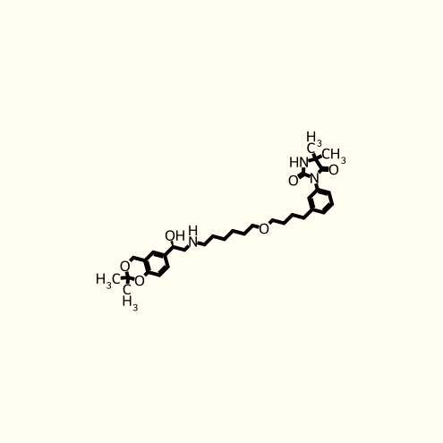 CC1(C)OCc2cc([C@@H](O)CNCCCCCCOCCCCc3cccc(N4C(=O)NC(C)(C)C4=O)c3)ccc2O1